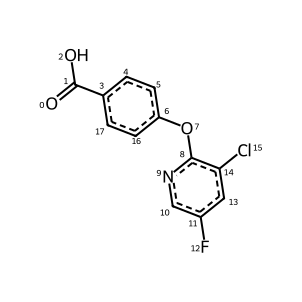 O=C(O)c1ccc(Oc2ncc(F)cc2Cl)cc1